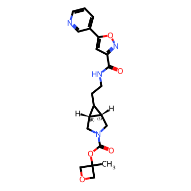 CC1(OC(=O)N2C[C@@H]3C(CCNC(=O)c4cc(-c5cccnc5)on4)[C@@H]3C2)COC1